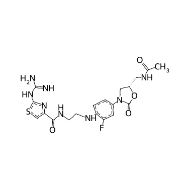 CC(=O)NC[C@H]1CN(c2ccc(NCCNC(=O)c3csc(NC(=N)N)n3)c(F)c2)C(=O)O1